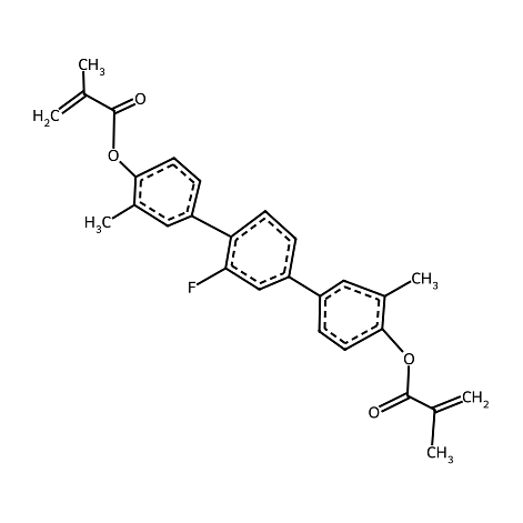 C=C(C)C(=O)Oc1ccc(-c2ccc(-c3ccc(OC(=O)C(=C)C)c(C)c3)c(F)c2)cc1C